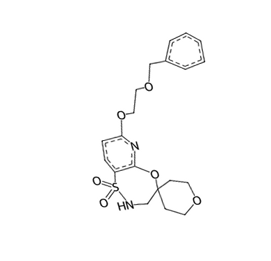 O=S1(=O)NCC2(CCOCC2)Oc2nc(OCCOCc3ccccc3)ccc21